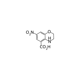 O=C(O)c1cc([N+](=O)[O-])cc2c1NCCO2